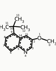 COc1cnc2cccc(C(C)(C)C)c2c1